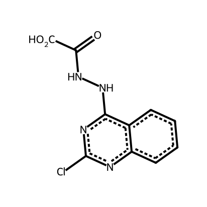 O=C(O)C(=O)NNc1nc(Cl)nc2ccccc12